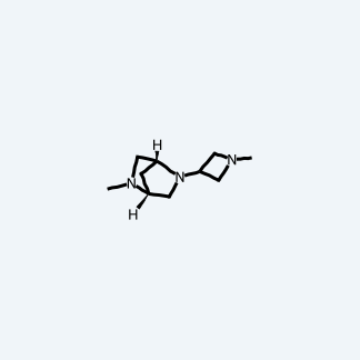 CN1CC(N2C[C@H]3C[C@@H]2CN3C)C1